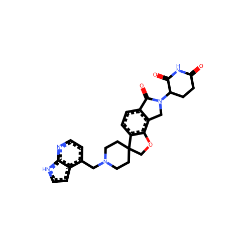 O=C1CCC(N2Cc3c(ccc4c3OCC43CCN(Cc4ccnc5[nH]ccc45)CC3)C2=O)C(=O)N1